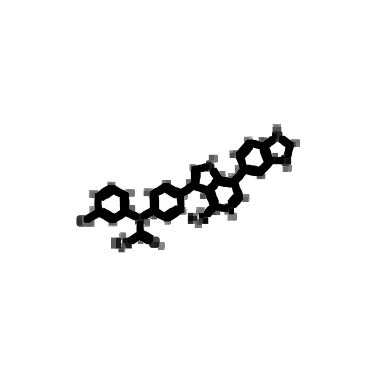 NC(=O)N(c1ccc(-c2csc3c(-c4ccc5c(c4)OCO5)cnc(N)c23)cc1)c1cccc(Cl)c1